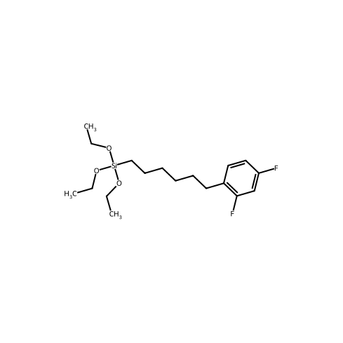 CCO[Si](CCCCCCc1ccc(F)cc1F)(OCC)OCC